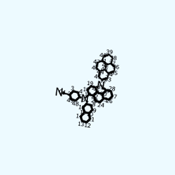 N#Cc1ccc(N(c2ccc3ccccc3c2)c2ccc3c4c2ccc2cccc(c24)n3C2=CC3=CC=C4CC=CC5=C4C3C(=C2)C=C5)cc1